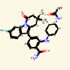 CCCC(=O)N[C@H]1CC[C@H](Nc2cc(-c3c4n(c5cc(F)ccc35)C(=O)CC(C)(C)C4)ccc2C(N)=O)CC1